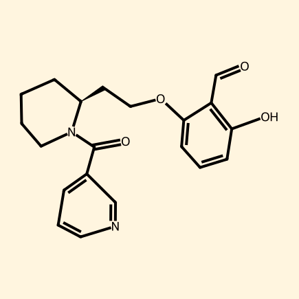 O=Cc1c(O)cccc1OCC[C@@H]1CCCCN1C(=O)c1cccnc1